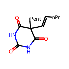 CCC/C=C/C1(C(C)CCC)C(=O)NC(=O)NC1=O